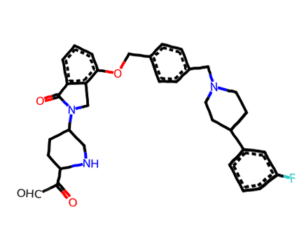 O=CC(=O)C1CCC(N2Cc3c(OCc4ccc(CN5CCC(c6cccc(F)c6)CC5)cc4)cccc3C2=O)CN1